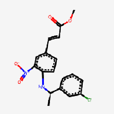 COC(=O)/C=C/c1ccc(N[C@H](C)c2cccc(Cl)c2)c([N+](=O)[O-])c1